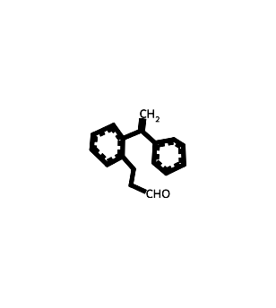 C=C(c1ccccc1)c1ccccc1CCC=O